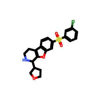 O=S(=O)(c1cccc(Cl)c1)c1ccc2c3c(oc2c1)C(C1CCOC1)NCC3